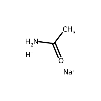 CC(N)=O.[H-].[Na+]